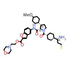 COC1CCC([C@@H]2CCN(C(=O)[C@H]3CC[C@H]([C@H](N)CCF)CC3)[C@@H]2C(=O)Nc2ccc3oc(C(=O)OCCN4CCOCC4)cc3c2)CC1